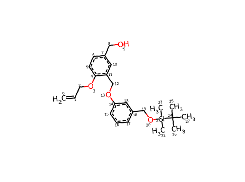 C=CCOc1ccc(CO)cc1COc1cccc(CO[Si](C)(C)C(C)(C)C)c1